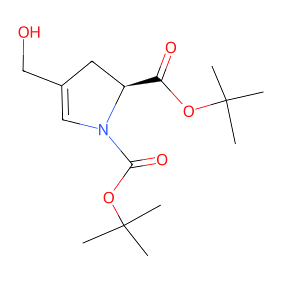 CC(C)(C)OC(=O)[C@@H]1CC(CO)=CN1C(=O)OC(C)(C)C